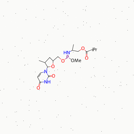 COP(NC(C)COC(=O)C(C)C)OCC1CC(C)C(n2ccc(=O)[nH]c2=O)O1